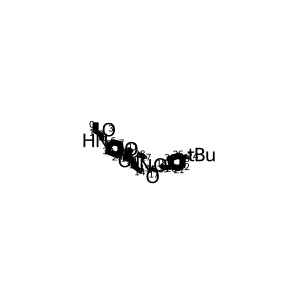 C=CC(=O)Nc1ccc(S(=O)(=O)N2CCN(C(=O)OCc3ccc(C(C)(C)C)cc3)CC2)cc1